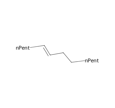 [CH2]CCCCC=CCCCCCCC